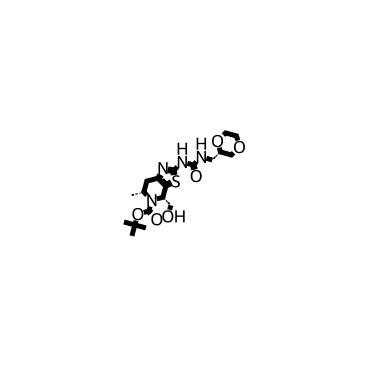 C[C@@H]1Cc2nc(NC(=O)NC[C@H]3COCCO3)sc2[C@H](CO)N1C(=O)OC(C)(C)C